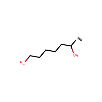 CC(C)(C)C(O)[CH]CCCCO